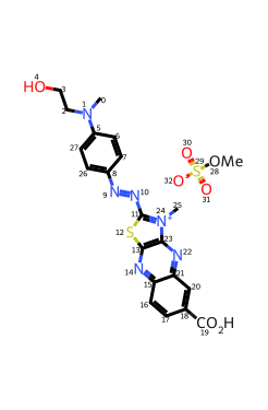 CN(CCO)c1ccc(/N=N/c2sc3nc4ccc(C(=O)O)cc4nc3[n+]2C)cc1.COS(=O)(=O)[O-]